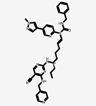 CCC[C@H](CCC/C=C/N(C(=O)NCc1ccccc1)c1ccc(-c2cnn(C)c2)cn1)Nc1ncc(C#N)c(NCc2ccncc2)n1